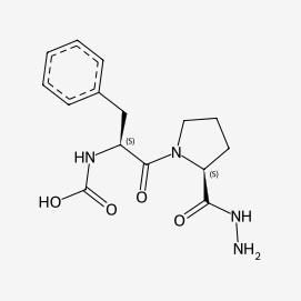 NNC(=O)[C@@H]1CCCN1C(=O)[C@H](Cc1ccccc1)NC(=O)O